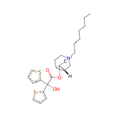 CCCCCCC[N+]12CCC(CC1)[C@@H](OC(=O)C(O)(c1cccs1)c1cccs1)C2